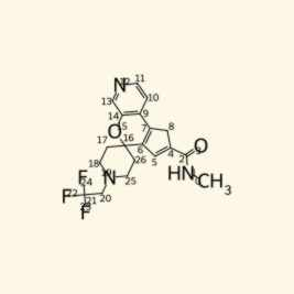 CNC(=O)C1=CC2=C(C1)c1ccncc1OC21CCN(CC(F)(F)F)CC1